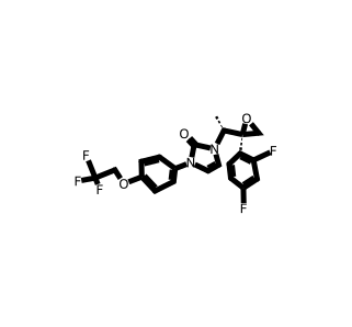 C[C@@H](n1ccn(-c2ccc(OCC(F)(F)F)cc2)c1=O)[C@]1(c2ccc(F)cc2F)CO1